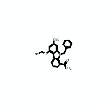 COc1cc(OCC#N)c2c3cccc(C(N)=O)c3n(Cc3ccccc3)c2c1